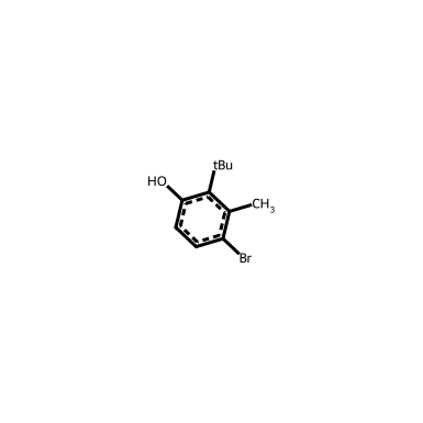 Cc1c(Br)ccc(O)c1C(C)(C)C